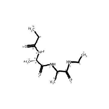 CCNC(=O)C(C)NC(=O)[C@H](C)NC(=O)CC